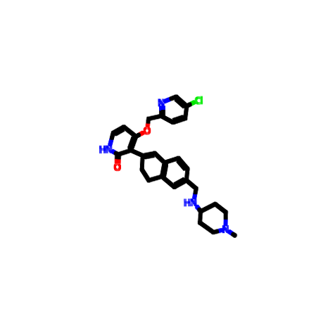 CN1CCC(NCc2ccc3c(c2)CCC(c2c(OCc4ccc(Cl)cn4)cc[nH]c2=O)=C3)CC1